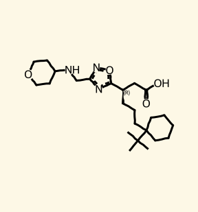 CC(C)(C)C1(CCC[C@H](CC(=O)O)c2nc(CNC3CCOCC3)no2)CCCCC1